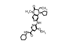 CC[C@@H]1C(=O)N(C)c2cnc(Nc3ncc(C(=O)NC4CCCCC4)cc3OC)cc2N1C1CCCC1